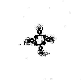 O=S(=O)([O-])c1ccc(-c2c3nc(c(-c4ccc(S(=O)(=O)[O-])cc4)c4ccc([nH]4)c(-c4ccc(S(=O)(=O)[O-])cc4)c4nc(c(-c5ccc(S(=O)(=O)[O-])cc5)c5ccc2[nH]5)C=C4)C=C3)cc1.[Ni+2].[Ni+2]